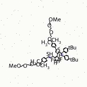 COCCOCCOCCOC(C)(C)c1ccc(/C(S)=C/CC2=C(c3cc(-c4ccc(C(C)(C)OCCOCCOCCOC)cc4)sc3/C(=C/c3ccc(C(C)(C)C)cc3)c3ccc(C(C)(C)C)cc3)C(F)(F)C(F)(F)C2(F)F)cc1